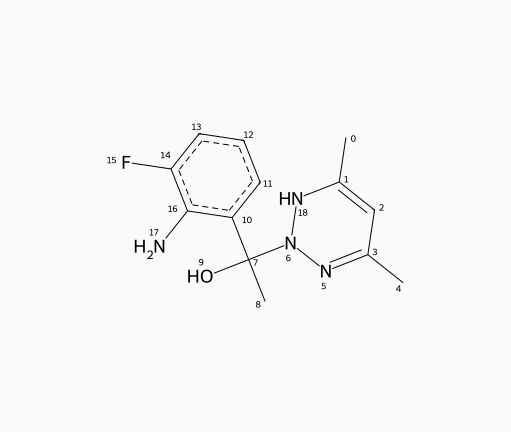 CC1=CC(C)=NN(C(C)(O)c2cccc(F)c2N)N1